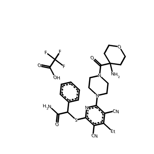 CCc1c(C#N)c(SC(C(N)=O)c2ccccc2)nc(N2CCN(C(=O)C3(N)CCOCC3)CC2)c1C#N.O=C(O)C(F)(F)F